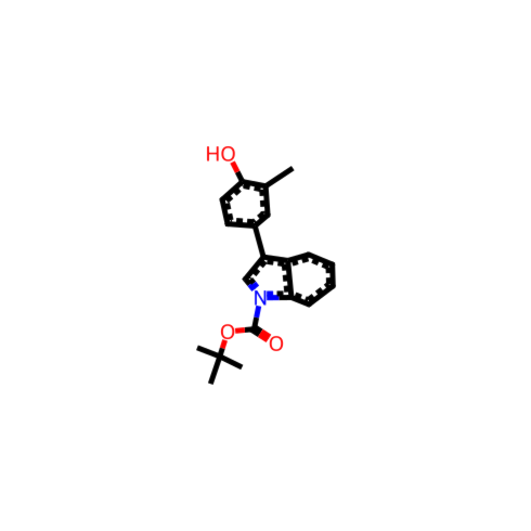 Cc1cc(-c2cn(C(=O)OC(C)(C)C)c3ccccc23)ccc1O